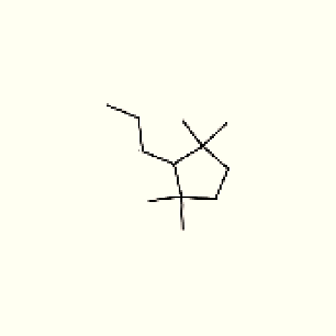 CC[CH]C1C(C)(C)CCC1(C)C